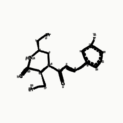 CC(C)C[C@H]1CN(C(=O)C=Cc2cccc(F)c2)[C@@H](CC(C)C)C(=O)N1